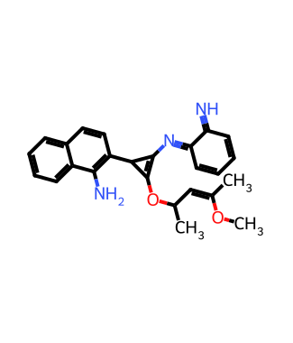 CO/C(C)=C\C(C)OC1=C(/N=C2\C=CC=CC2=N)C1c1ccc2ccccc2c1N